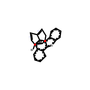 BrC1=C/CC/C=C(c2nc3ccccc3c3sc4ccccc4c23)/C=C\1